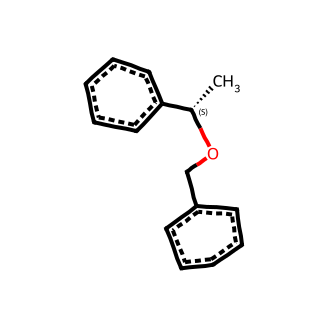 C[C@H](OCc1ccccc1)c1ccccc1